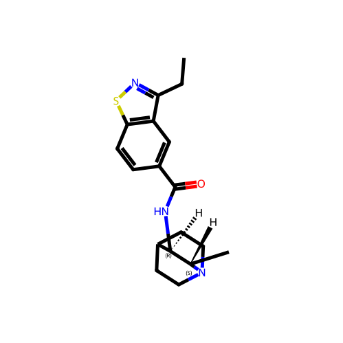 CCc1nsc2ccc(C(=O)N[C@@H]3C4CCN(CC4)[C@H]3C)cc12